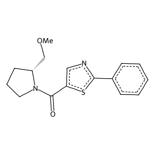 COC[C@H]1CCCN1C(=O)c1cnc(-c2ccccc2)s1